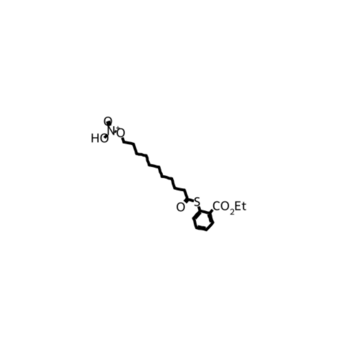 CCOC(=O)c1ccccc1SC(=O)CCCCCCCCCCO[N+](=O)O